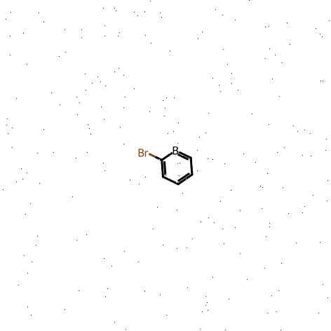 Brc1bcccc1